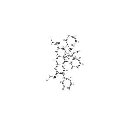 CC/N=c1\cc2oc3cc(NCC)c(-c4ccccc4)cc3c(-c3ccccc3S(=O)(=O)O)c-2cc1-c1ccccc1